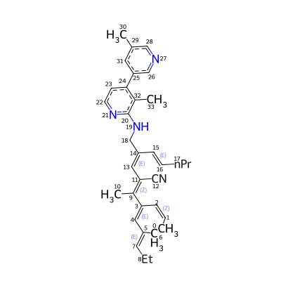 C\C=C/C(=C\C(C)=C\CC)C(/C)=C(C#N)/C=C(\C=C\CCC)CNc1nccc(-c2cncc(C)c2)c1C